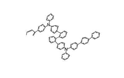 C=C(/C=C\C)c1ccc(N(c2ccccc2)c2ccc(-c3ccccc3-c3ccccc3-c3ccc(N(c4ccccc4)c4ccc(-c5ccc(-c6ccccc6)cc5)cc4)cc3)cc2)cc1